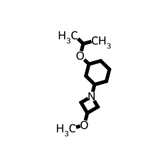 COC1CN(C2CCCC(OC(C)C)C2)C1